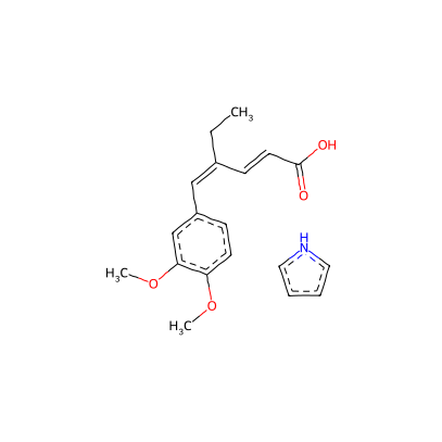 CCC(C=CC(=O)O)=Cc1ccc(OC)c(OC)c1.c1cc[nH]c1